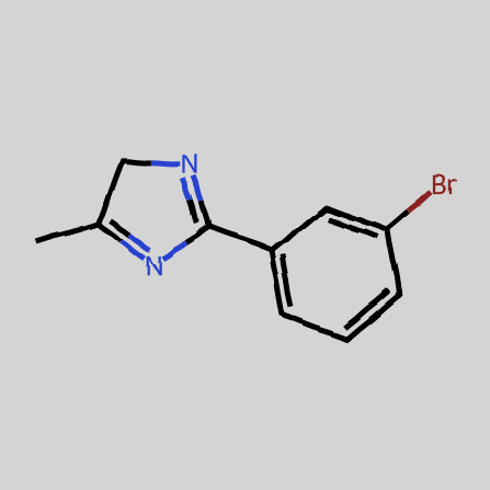 CC1=NC(c2cccc(Br)c2)=NC1